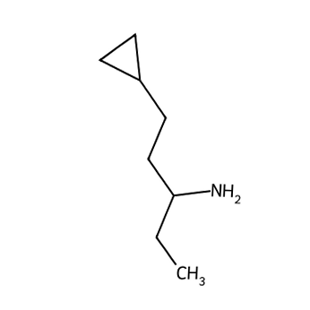 CCC(N)CCC1CC1